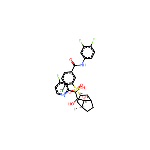 O=C(Nc1ccc(F)c(F)c1)c1ccc(Cl)c(S(=O)(=O)[C@@H]2CC3CC[C@@H](C2)[C@@]3(O)C(O)C(O)c2cc(F)ccn2)c1